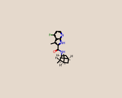 Cc1c(C(=O)N[C@H]2C[C@H]3C[C@@H]([C@@H]2C)C3(C)C)[nH]c2nccc(F)c12